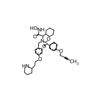 CC#CCOc1ccc(S(=O)(=O)N(Cc2ccc(OCCC3CCCCN3)cc2)C(C(=O)NO)C2CCCCC2)cc1